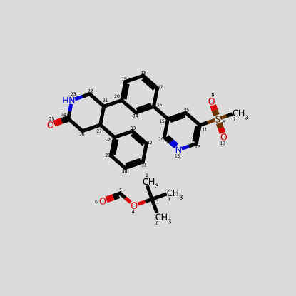 CC(C)(C)OC=O.CS(=O)(=O)c1cncc(-c2cccc(C3CNC(=O)CC3c3ccccc3)c2)c1